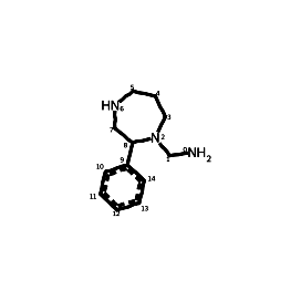 NCN1CCCNCC1c1ccccc1